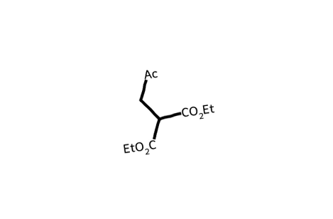 CCOC(=O)C(CC(C)=O)C(=O)OCC